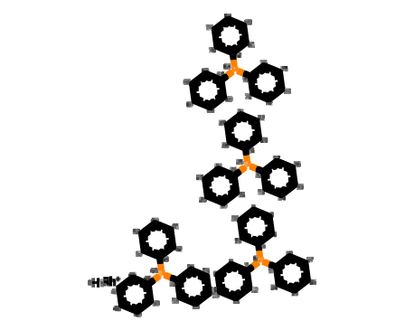 [H-].[Rh+].c1ccc(P(c2ccccc2)c2ccccc2)cc1.c1ccc(P(c2ccccc2)c2ccccc2)cc1.c1ccc(P(c2ccccc2)c2ccccc2)cc1.c1ccc(P(c2ccccc2)c2ccccc2)cc1